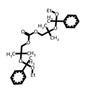 CCOC(C)(OC(C)(C)COC(=O)OCC(C)(C)OC(C)(OCC)c1ccccc1)c1ccccc1